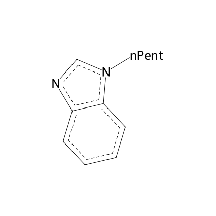 CCCCCn1cnc2ccccc21